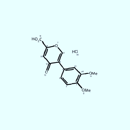 COc1ccc(-c2coc(C(=O)O)cc2=O)cc1OC.Cl